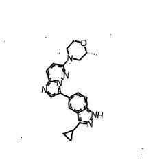 C[C@@H]1CN(c2ccc3ncc(-c4ccc5[nH]nc(C6CC6)c5c4)n3n2)CCO1